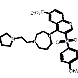 CCOC(=O)c1ccc2ncc(S(=O)(=O)c3ccc(OC)cc3)c(N3CCCN(CCN4CCCC4)CC3)c2c1